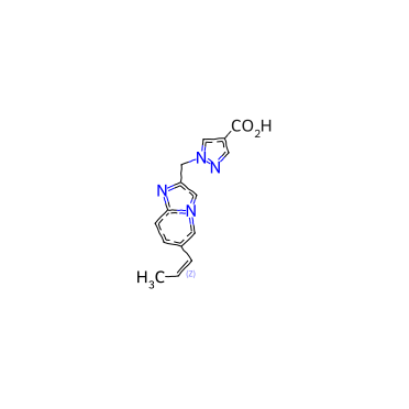 C/C=C\c1ccc2nc(Cn3cc(C(=O)O)cn3)cn2c1